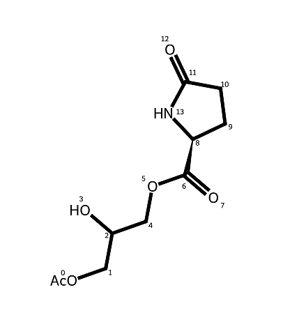 CC(=O)OCC(O)COC(=O)[C@@H]1CCC(=O)N1